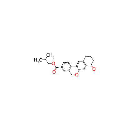 CC(C)COC(=O)c1ccc2c(c1)COc1cc3c(cc1-2)CCCC3=O